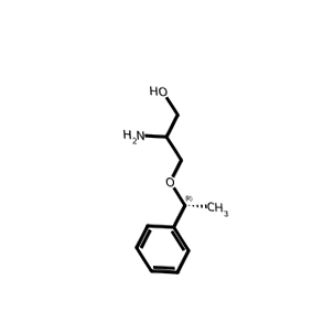 C[C@@H](OCC(N)CO)c1ccccc1